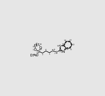 CCO[Si](CCCSSc1nc2ccccc2s1)(OCC)OCC